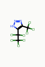 ClC(Cl)(Cl)c1nn[nH]c1C(Cl)(Cl)C(Cl)(Cl)Cl